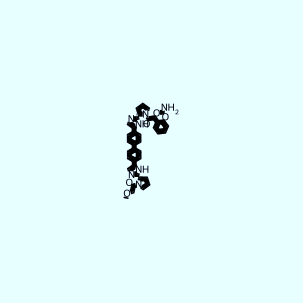 COCC(=O)N1CCC[C@H]1c1ncc(-c2ccc(-c3ccc(-c4cnc([C@@H]5CCCN5C(=O)[C@H](OC(N)=O)c5ccccc5)[nH]4)cc3)cc2)[nH]1